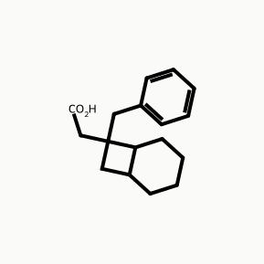 O=C(O)CC1(Cc2ccccc2)CC2CCCCC21